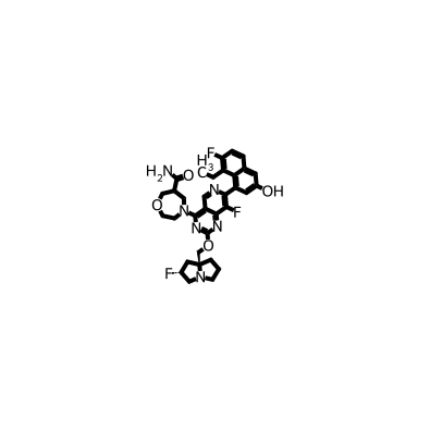 CCc1c(F)ccc2cc(O)cc(-c3ncc4c(N5CCOCC(C(N)=O)C5)nc(OC[C@@]56CCCN5C[C@H](F)C6)nc4c3F)c12